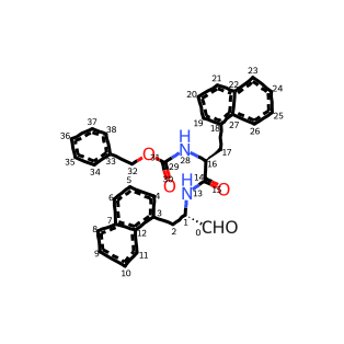 O=C[C@H](Cc1cccc2ccccc12)NC(=O)[C@H](Cc1cccc2ccccc12)NC(=O)OCc1ccccc1